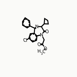 COC(=O)CN1C(=O)C(C2CCC2)N=C(c2ccccc2)c2cc(Cl)ccc21